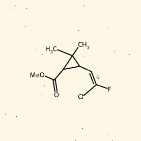 COC(=O)C1C(/C=C(/F)Cl)C1(C)C